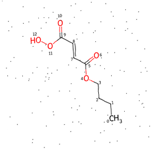 CCCCOC(=O)/C=C/C(=O)OO